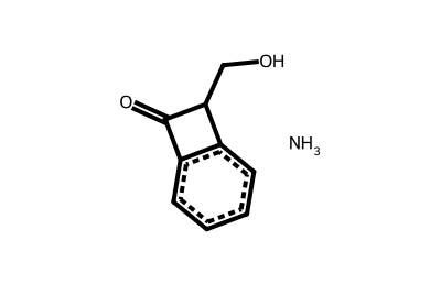 N.O=C1c2ccccc2C1CO